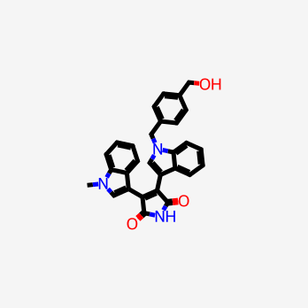 Cn1cc(C2=C(c3cn(Cc4ccc(CO)cc4)c4ccccc34)C(=O)NC2=O)c2ccccc21